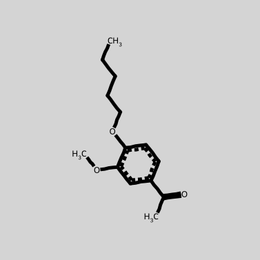 CCCCCOc1ccc(C(C)=O)cc1OC